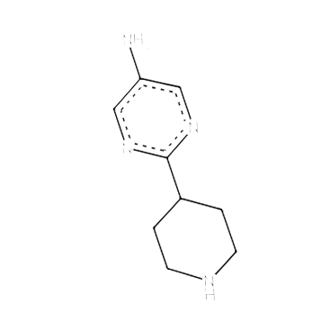 Nc1cnc(C2CCNCC2)nc1